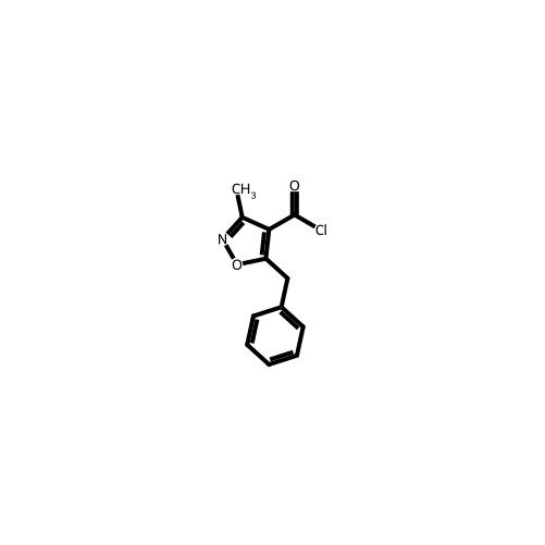 Cc1noc(Cc2ccccc2)c1C(=O)Cl